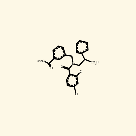 COC(=O)c1cccc(CN(CC(C(=O)O)c2ccccc2)C(=O)c2ccc(Cl)cc2Cl)c1